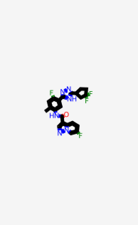 Cc1cc(F)c(-c2nnc(C3CCC(F)(F)C3)[nH]2)cc1NC(=O)c1cnn2cc(F)ccc12